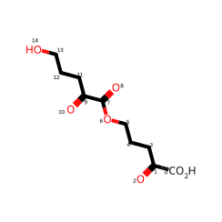 O=C(O)C(=O)CCCOC(=O)C(=O)CCCO